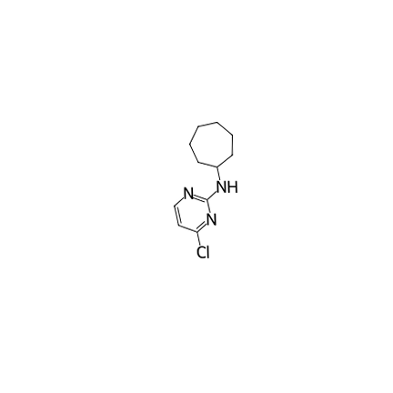 Clc1ccnc(NC2CCCCCC2)n1